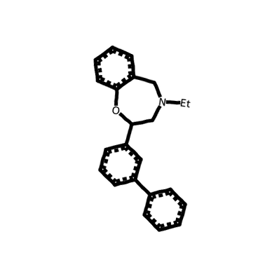 CCN1Cc2ccccc2OC(c2cccc(-c3ccccc3)c2)C1